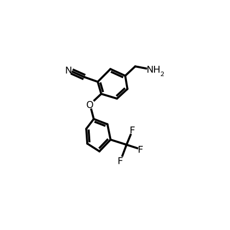 N#Cc1cc(CN)ccc1Oc1cccc(C(F)(F)F)c1